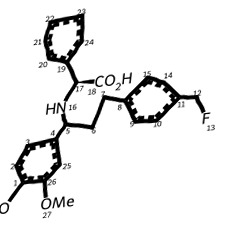 COc1ccc(C(CCc2ccc(CF)cc2)N[C@H](C(=O)O)c2ccccc2)cc1OC